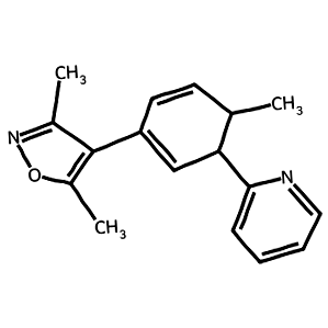 Cc1noc(C)c1C1=CC(c2ccccn2)C(C)C=C1